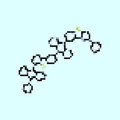 c1ccc(-c2ccc3sc4ccc(-c5c6ccccc6c(-c6ccc7sc8c(-c9c%10ccccc%10c(-c%10ccccc%10)c%10ccccc9%10)cccc8c7c6)c6ccccc56)cc4c3c2)cc1